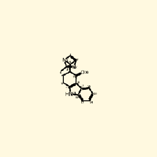 Cc1nc2cn1C2C1CCc2[nH]c3ccccc3c2C1=O